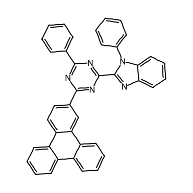 c1ccc(-c2nc(-c3ccc4c5ccccc5c5ccccc5c4c3)nc(-c3nc4ccccc4n3-c3ccccc3)n2)cc1